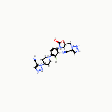 N#Cc1cnnn1C[C@H]1CN(c2ccc(N3CCC(n4nncc4C#N)CC3)c(F)c2)C(=O)O1